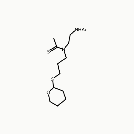 CC(=O)NCCN(CCCSC1CCCCO1)C(C)=S